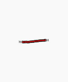 OCCOCCOCCOCCOCCOCCOCCOCCOCCOCCOCCOCCOCCOCCOCCOCCOCCOCCOCCOCCOCCOCCOCCOCCOCCOCCOCCOCCOCCOCCOCCOCCOCCOCCOCCOCCOCCOCCOCCOCCOCCOCCOCCO